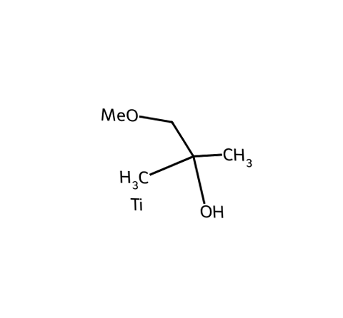 COCC(C)(C)O.[Ti]